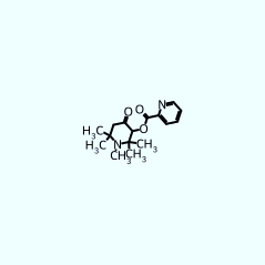 CN1C(C)(C)CC(=O)C(OC(=O)c2ccccn2)C1(C)C